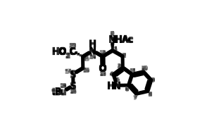 CC(=O)N[C@@H](Cc1c[nH]c2ccccc12)C(=O)N[C@H](CSSC(C)(C)C)C(=O)O